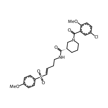 COc1ccc(S(=O)(=O)/C=C/CCNC(=O)[C@H]2CCCN(C(=O)c3cc(Cl)ccc3OC)C2)cc1